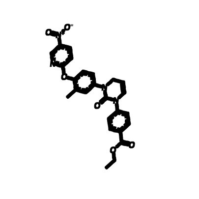 CCOC(=O)c1ccc(N2C=CCN(c3ccc(Oc4ccc([N+](=O)[O-])cn4)c(C)c3)C2=O)cc1